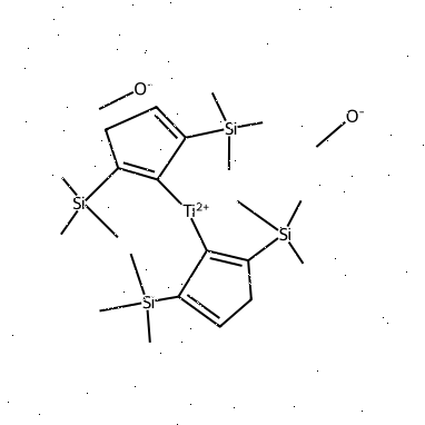 C[O-].C[O-].C[Si](C)(C)C1=CCC([Si](C)(C)C)=[C]1[Ti+2][C]1=C([Si](C)(C)C)CC=C1[Si](C)(C)C